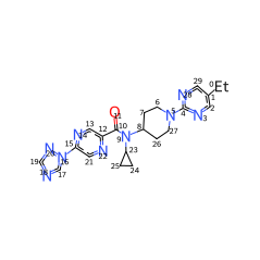 CCc1cnc(N2CCC(N(C(=O)c3cnc(-n4cncn4)cn3)C3CC3)CC2)nc1